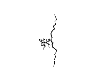 CCCCCCCCN(CCCCCCCC)OC(F)(F)S(=O)(=O)F